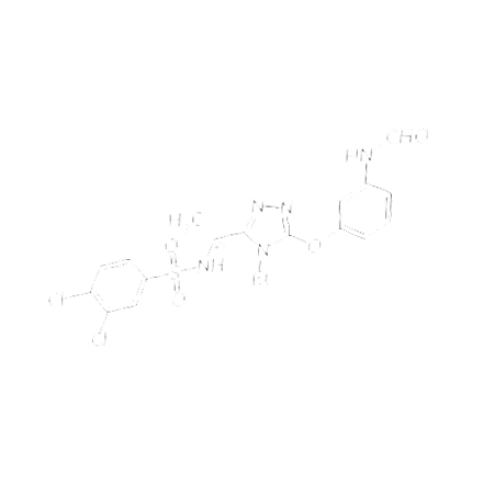 CCn1c(Oc2cccc(NC=O)c2)nnc1[C@@H](C)NS(=O)(=O)c1ccc(Cl)c(Cl)c1